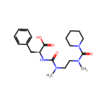 CN(CCN(C)C(=O)N1CCCCC1)C(=O)N[C@@H](Cc1ccccc1)C(=O)O